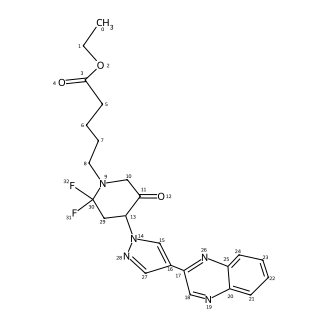 CCOC(=O)CCCCN1CC(=O)C(n2cc(-c3cnc4ccccc4n3)cn2)CC1(F)F